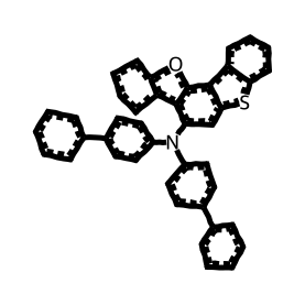 c1ccc(-c2ccc(N(c3ccc(-c4ccccc4)cc3)c3cc4sc5ccccc5c4c4oc5ccccc5c34)cc2)cc1